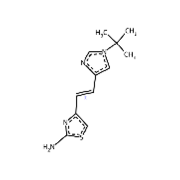 CC(C)(C)n1cnc(/C=C/c2csc(N)n2)c1